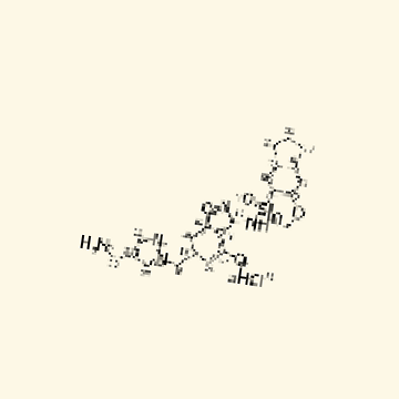 COc1cc2c(cc1S(=O)(=O)Nc1noc3cc(Cn4cc(CN)cn4)cc(OC)c13)CCC2.Cl